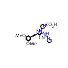 COc1cc(C#Cc2nn(C3CCN(C(=O)O)C3)c(NCCN3CCCC3)c2C#N)cc(OC)c1